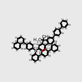 CC1(C)c2cc(-c3ccc(-c4ccccc4)cc3)ccc2-c2ccc(N(c3ccc(-c4cccc5ccccc45)cc3)c3ccccc3-c3ccc(-c4ccccc4)cc3)cc21